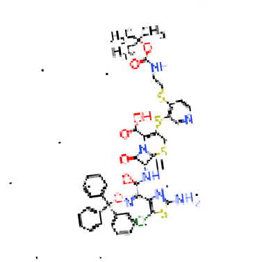 CC(C)(C)OC(=O)NCCSc1ccncc1SC1=C(C(=O)O)N2C(=O)[C@@H](NC(=O)/C(=N\OC(c3ccccc3)(c3ccccc3)c3ccccc3)c3nc(N)sc3Cl)[C@@H]2SC1